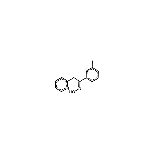 Cc1cccc(C(Cc2ccccn2)=NO)c1